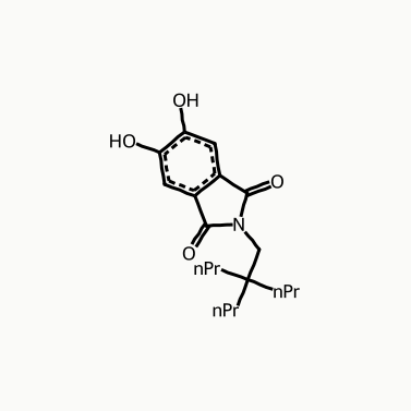 CCCC(CCC)(CCC)CN1C(=O)c2cc(O)c(O)cc2C1=O